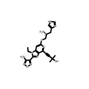 CCn1c(-c2nonc2N)nc2c(C#CC(C)(C)O)nc(OC[C@@H](N)Cc3c[nH]cn3)cc21